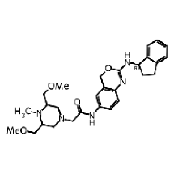 COCC1CN(CC(=O)Nc2ccc3c(c2)COC(N[C@@H]2CCc4ccccc42)=N3)CC(COC)N1C